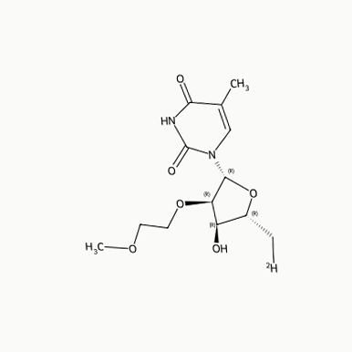 [2H]C[C@H]1O[C@@H](n2cc(C)c(=O)[nH]c2=O)[C@H](OCCOC)[C@@H]1O